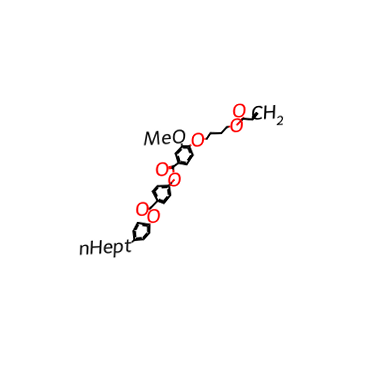 C=CC(=O)OCCCCOc1ccc(C(=O)Oc2ccc(C(=O)Oc3ccc(CCCCCCC)cc3)cc2)cc1OC